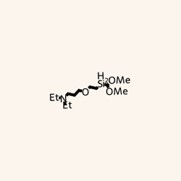 CCN(CC)CCCOCC[SiH2]C(OC)OC